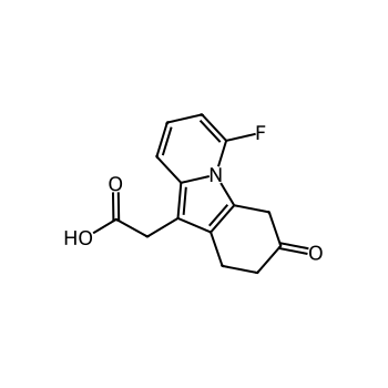 O=C(O)Cc1c2c(n3c(F)cccc13)CC(=O)CC2